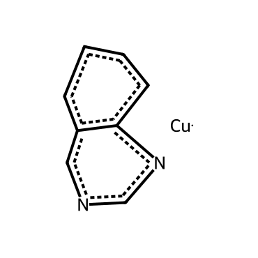 [Cu].c1ccc2ncncc2c1